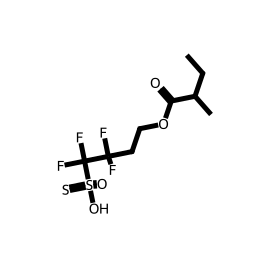 CCC(C)C(=O)OCCC(F)(F)C(F)(F)S(=O)(O)=S